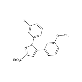 CCOC(=O)c1cc(-c2cccc(OC(F)(F)F)c2)n(-c2cccc(Cl)c2)n1